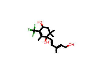 CC(C=CC1(O)C(C)=C(C(F)(F)F)C(O)CC1(C)C)=CCO